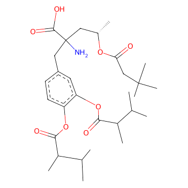 CC(C)C(C)C(=O)Oc1ccc(CC(N)(C[C@H](C)OC(=O)CC(C)(C)C)C(=O)O)cc1OC(=O)C(C)C(C)C